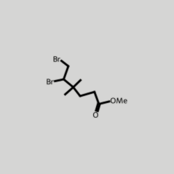 COC(=O)CCC(C)(C)C(Br)CBr